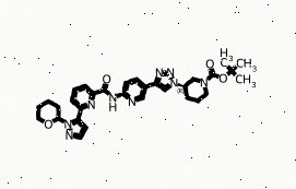 CC(C)(C)OC(=O)N1CCC[C@@H](n2cc(-c3ccc(NC(=O)c4cccc(-c5ccnn5C5CCCCO5)n4)nc3)nn2)C1